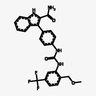 COCc1ccc(C(F)(F)F)cc1NC(=O)Nc1ccc(-c2c(C(N)=O)[nH]c3ccccc23)cc1